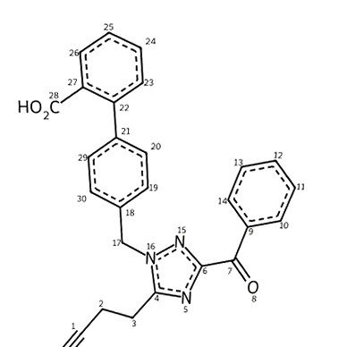 C#CCCc1nc(C(=O)c2ccccc2)nn1Cc1ccc(-c2ccccc2C(=O)O)cc1